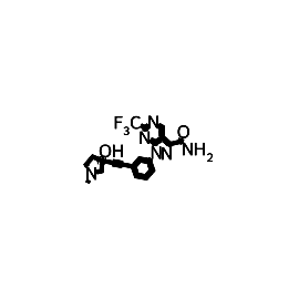 CN1CC[C@@](O)(C#Cc2cccc(-n3nc(C(N)=O)c4cnc(C(F)(F)F)nc43)c2)C1